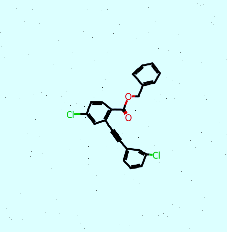 O=C(OCc1ccccc1)c1ccc(Cl)cc1C#Cc1cccc(Cl)c1